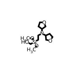 CO[Si](CO)(CCN(C1CCOC1)C1CCOC1)OC